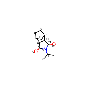 CC(C)N1C(=O)C2C3CCC(C3)C2C1=O